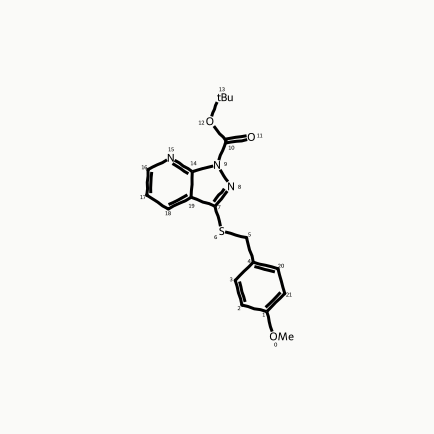 COc1ccc(CSc2nn(C(=O)OC(C)(C)C)c3ncccc23)cc1